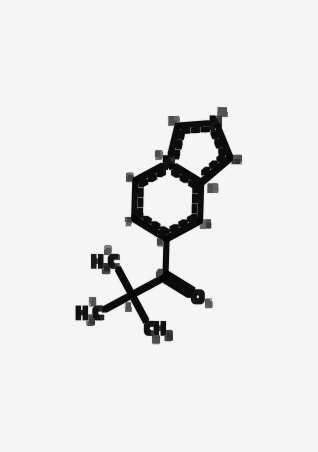 CC(C)(C)C(=O)c1ccn2cncc2c1